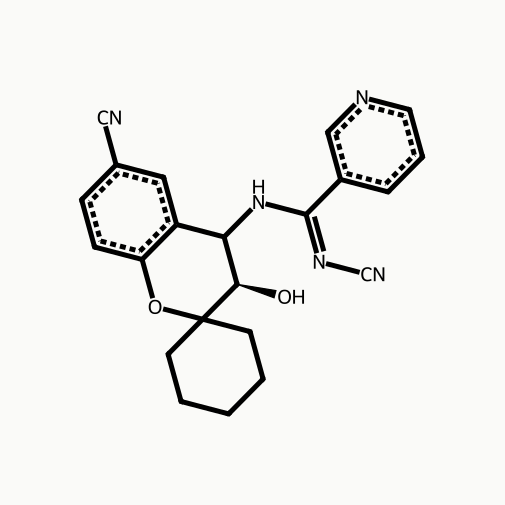 N#CN=C(NC1c2cc(C#N)ccc2OC2(CCCCC2)[C@@H]1O)c1cccnc1